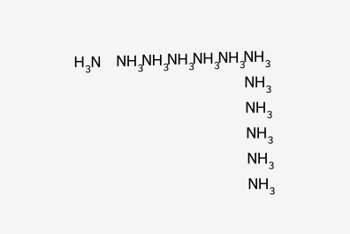 N.N.N.N.N.N.N.N.N.N.N.N